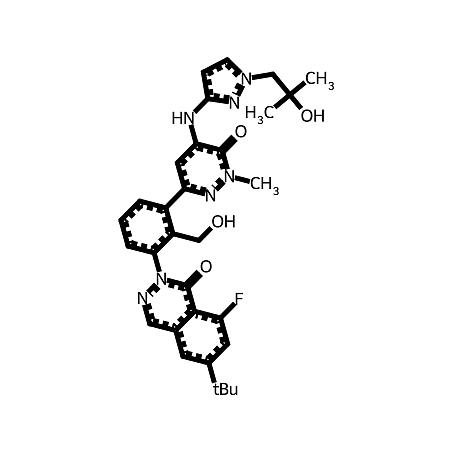 Cn1nc(-c2cccc(-n3ncc4cc(C(C)(C)C)cc(F)c4c3=O)c2CO)cc(Nc2ccn(CC(C)(C)O)n2)c1=O